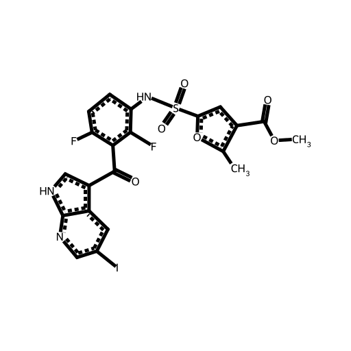 COC(=O)c1cc(S(=O)(=O)Nc2ccc(F)c(C(=O)c3c[nH]c4ncc(I)cc34)c2F)oc1C